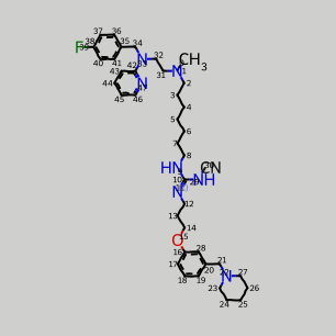 CN(CCCCCCCN/C(=N/CCCOc1cccc(CN2CCCCC2)c1)NC#N)CCN(Cc1ccc(F)cc1)c1ccccn1